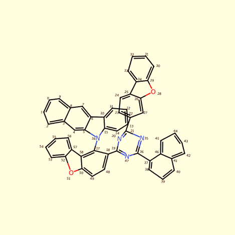 c1ccc2cc3c(cc2c1)c1ccccc1n3-c1c(-c2nc(-c3ccc4c(c3)oc3ccccc34)nc(-c3cccc4ccccc34)n2)ccc2oc3ccccc3c12